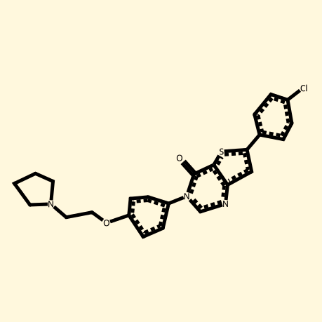 O=c1c2sc(-c3ccc(Cl)cc3)cc2ncn1-c1ccc(OCCN2CCCC2)cc1